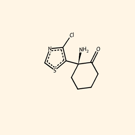 N[C@]1(c2scnc2Cl)CCCCC1=O